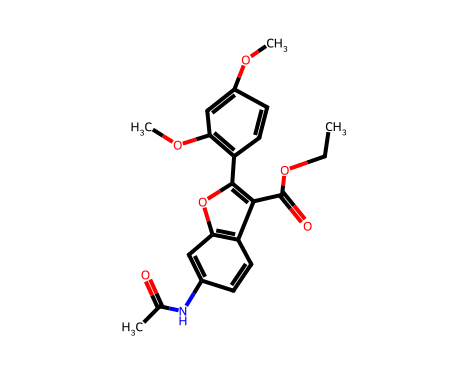 CCOC(=O)c1c(-c2ccc(OC)cc2OC)oc2cc(NC(C)=O)ccc12